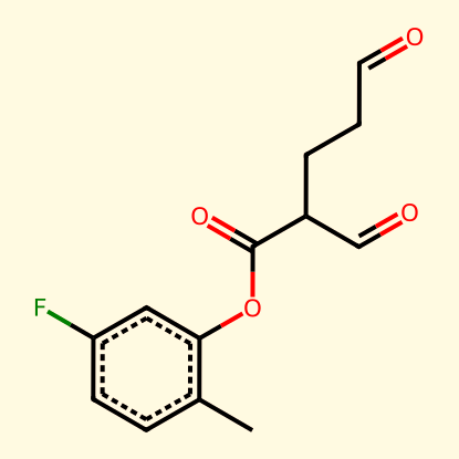 Cc1ccc(F)cc1OC(=O)C(C=O)CCC=O